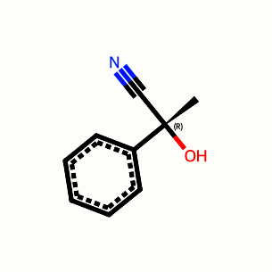 C[C@](O)(C#N)c1ccccc1